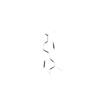 Bc1ccc(-c2ccc(C(=O)O)cc2)cc1N